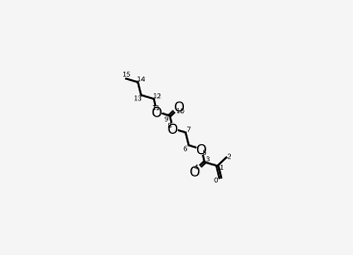 C=C(C)C(=O)OCCOC(=O)OCCCC